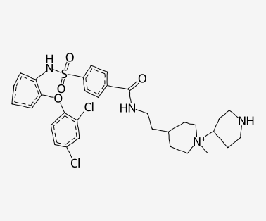 C[N+]1(C2CCNCC2)CCC(CCNC(=O)c2ccc(S(=O)(=O)Nc3ccccc3Oc3ccc(Cl)cc3Cl)cc2)CC1